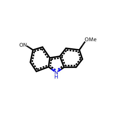 COc1ccc2[nH]c3ccc(N=O)cc3c2c1